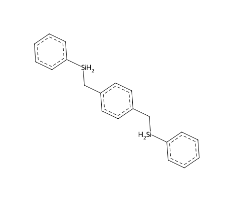 c1ccc([SiH2]Cc2ccc(C[SiH2]c3ccccc3)cc2)cc1